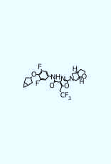 O=C(Nc1cc(F)c(OC2CC3CC3C2)c(F)c1)c1nc(N2C[C@H]3CCO[C@H]3C2)oc1CC(F)(F)F